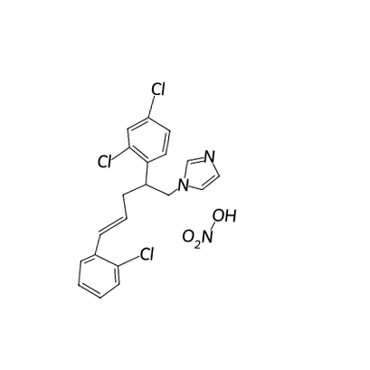 Clc1ccc(C(CC=Cc2ccccc2Cl)Cn2ccnc2)c(Cl)c1.O=[N+]([O-])O